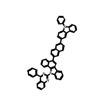 c1ccc(-c2nc(-n3c4ccccc4c4cc(-c5ccc6cc(-c7ccc8c(c7)c7ccccc7n8-c7ccccc7)ccc6c5)c5ccccc5c43)nc3ccccc23)cc1